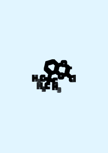 CC(C)(C)c1cccc2c1OC(Cl)=[C]O2